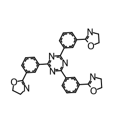 c1cc(C2=NCCO2)cc(-c2nc(-c3cccc(C4=NCCO4)c3)nc(-c3cccc(C4=NCCO4)c3)n2)c1